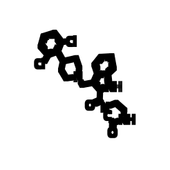 O=C1CN(C(=O)c2[nH]c3ccccc3c2CN2CCC(c3c(Cl)cccc3Cl)CC2)CCN1